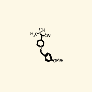 COc1ccc(CN2CCC(C(C#N)N(C)C)CC2)cc1